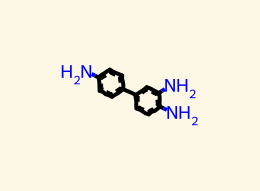 Nc1ccc(-c2ccc(N)c(N)c2)cc1